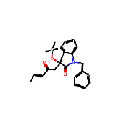 C/C=C/C(=O)CC1(O[Si](C)(C)C)C(=O)N(Cc2ccccc2)c2ccccc21